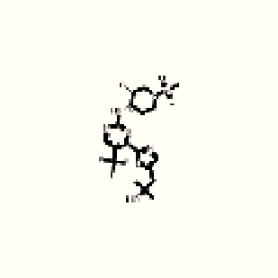 CC(C)(O)Cc1cnc(-c2nc(N[C@H]3CCN(S(C)(=O)=O)C[C@H]3F)ncc2C(F)(F)F)s1